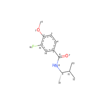 COc1ccc(C(=O)N[C@@H](C)C(C)C)cc1F